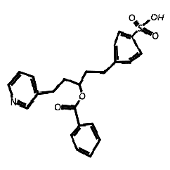 O=C(OC(CCc1ccc(S(=O)(=O)O)cc1)CCc1cccnc1)c1ccccc1